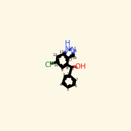 OC(c1ccccc1)c1cc(Cl)cc2[nH]ncc12